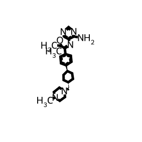 CN1CCN(C[C@H]2CC[C@H](c3ccc(C4=Nc5c(N)ncnc5OC4(C)C)cc3)CC2)CC1